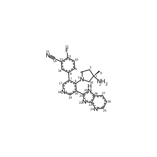 C[C@]1(N)CCN(c2c(-c3ccc(F)c(C#N)c3)cncc2-c2nc3ncccc3[nH]2)C1